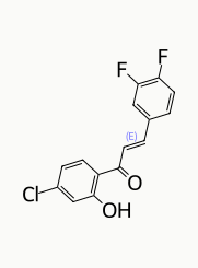 O=C(/C=C/c1ccc(F)c(F)c1)c1ccc(Cl)cc1O